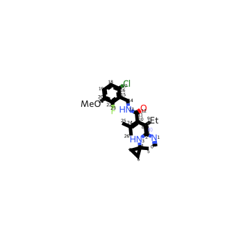 C=N/C(NC1(C)CC1)=C(\CC)C(C(=O)NCc1c(Cl)ccc(OC)c1F)=C(C)C